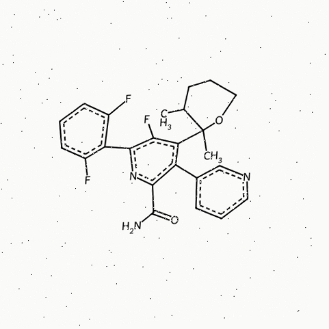 CC1CCCOC1(C)c1c(F)c(-c2c(F)cccc2F)nc(C(N)=O)c1-c1cccnc1